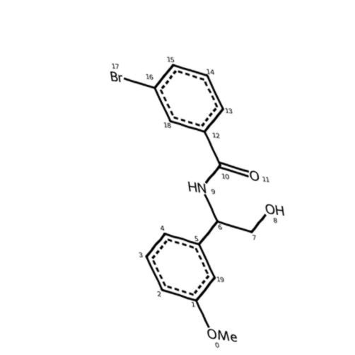 COc1cccc(C(CO)NC(=O)c2cccc(Br)c2)c1